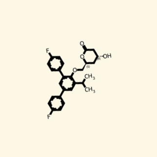 CC(C)c1cc(-c2ccc(F)cc2)cc(-c2ccc(F)cc2)c1OC[C@@H]1C[C@@H](O)CC(=O)O1